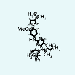 C=CCN(C)N(C(/C=C\C=O)=N/N(C)C(C)C)c1nc(Nc2ccc(N3CCC(N(C)C)C3)c(OC)c2)ncc1C=O